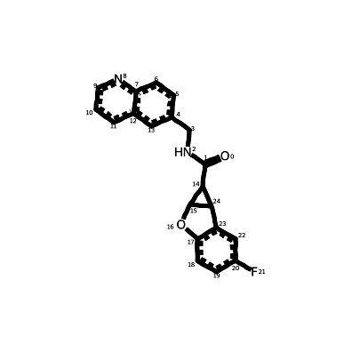 O=C(NCc1ccc2ncccc2c1)C1C2Oc3ccc(F)cc3C21